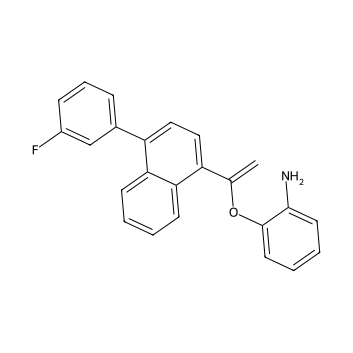 C=C(Oc1ccccc1N)c1ccc(-c2cccc(F)c2)c2ccccc12